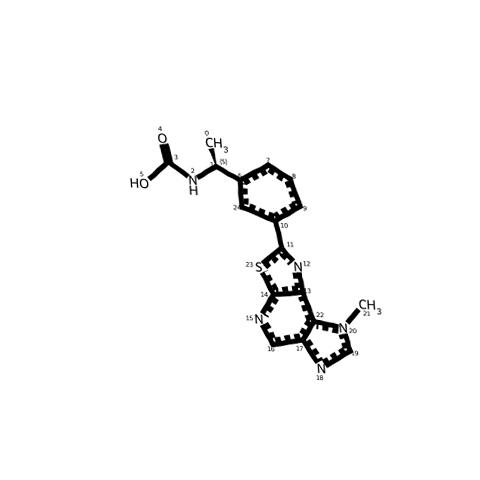 C[C@H](NC(=O)O)c1cccc(-c2nc3c(ncc4ncn(C)c43)s2)c1